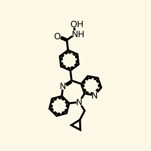 O=C(NO)c1ccc(C2=Nc3ccccc3N(CC3CC3)c3ncccc32)cc1